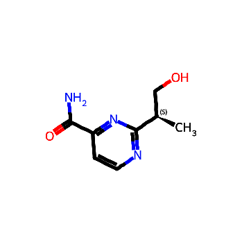 C[C@H](CO)c1nccc(C(N)=O)n1